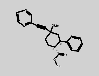 COC1(C#Cc2cnccn2)CC[C@@H](C(=O)OC(C)(C)C)[C@H](c2ccccc2)C1